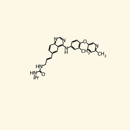 Cc1ccc(Oc2ccc(Nc3ncnc4ccc(/C=C/CNC(=O)NC(C)C)cc34)cc2C)cn1